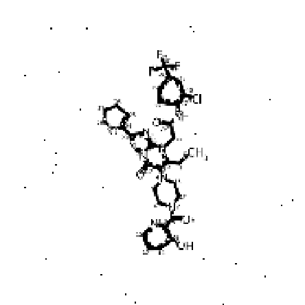 CCc1c(N2CCN(C(=O)c3ncccc3O)CC2)c(=O)n2nc(C3=CCCCO3)nc2n1CC(=O)Nc1ccc(C(F)(F)F)cc1Cl